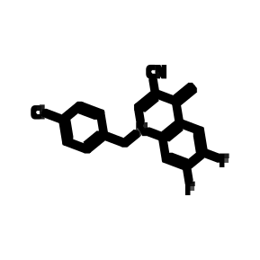 C=C1C(C#N)=CN(Cc2ccc(Cl)cc2)c2cc(F)c(F)cc21